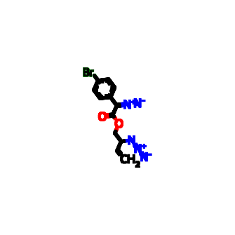 C=CC(COC(=O)C(=[N+]=[N-])c1ccc(Br)cc1)N=[N+]=[N-]